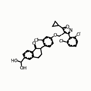 O=C1c2ccc(C(O)O)cc2CCC1c1ccc(OCc2c(-c3c(Cl)cccc3Cl)noc2C2CC2)cc1Cl